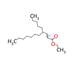 CCCCCCCC(/C=C/C(=O)OCC)CCCCC